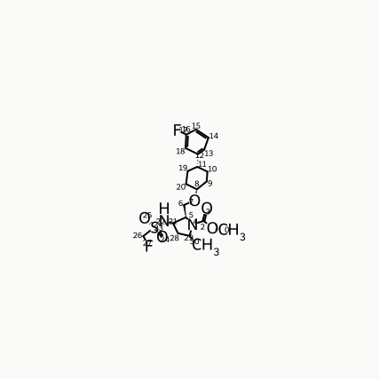 COC(=O)N1[C@H](CO[C@H]2CC[C@@H](c3cccc(F)c3)CC2)[C@H](NS(=O)(=O)CF)C[C@@H]1C